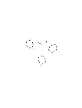 O=C(C(=Cc1cccc(Cl)c1Cl)SCc1ccc(Cl)cc1)c1ccc(Br)cc1